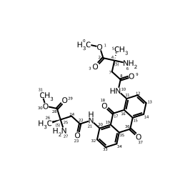 COC(=O)[C@@](C)(N)CC(=O)Nc1cccc2c1C(=O)c1c(NC(=O)C[C@](C)(N)C(=O)OC)cccc1C2=O